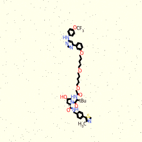 Cc1ncsc1-c1ccc(CNC(=O)[C@@H]2C[C@@H](O)CN2C(=O)C(NC(=O)COCCCCCOCCCCCOc2cccc(-c3cc(Nc4ccc(OC(F)(F)F)cc4)ncn3)c2)C(C)(C)C)cc1